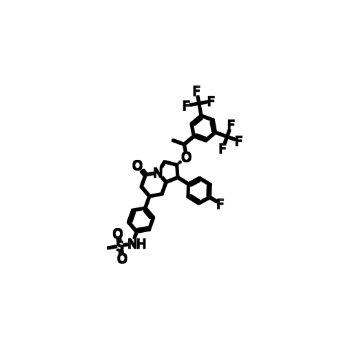 CC(O[C@H]1CN2C(=O)CC(c3ccc(NS(C)(=O)=O)cc3)CC2C1c1ccc(F)cc1)c1cc(C(F)(F)F)cc(C(F)(F)F)c1